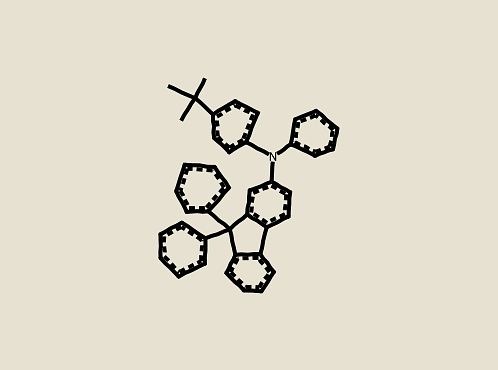 CC(C)(C)c1ccc(N(c2ccccc2)c2ccc3c(c2)C(c2ccccc2)(c2ccccc2)c2ccccc2-3)cc1